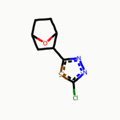 Clc1nnc(C2CC3CCC2O3)s1